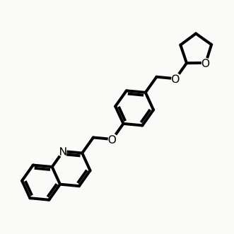 c1ccc2nc(COc3ccc(COC4CCCO4)cc3)ccc2c1